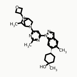 Cc1nc(N2CC3CC2C(C)N3C2COC2)cc(-n2ncc3cc(C)c([C@H]4CC[C@](C)(O)CC4)cc32)n1